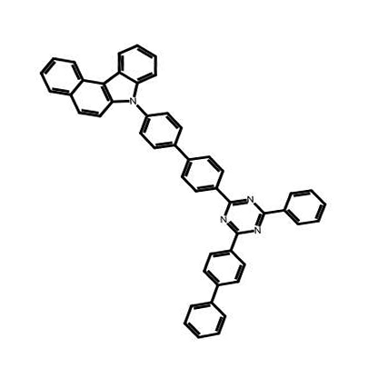 c1ccc(-c2ccc(-c3nc(-c4ccccc4)nc(-c4ccc(-c5ccc(-n6c7ccccc7c7c8ccccc8ccc76)cc5)cc4)n3)cc2)cc1